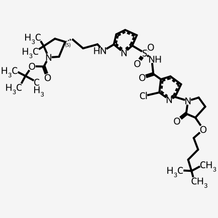 CC(C)(C)CCCOC1CCN(c2ccc(C(=O)NS(=O)(=O)c3cccc(NCCC[C@@H]4CN(C(=O)OC(C)(C)C)C(C)(C)C4)n3)c(Cl)n2)C1=O